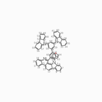 c1ccc(-n2c3ccccc3c3ccc4c5ccccc5nc(-c5cccc(-c6cc(-n7c8ccccc8c8ccccc87)cc(-n7c8ccccc8c8ccccc87)c6)c5)c4c32)cc1